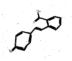 O=C(O)c1ccccc1C=Cc1ccc(Br)cc1